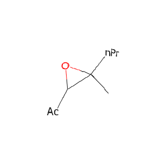 CCCC1(C)OC1C(C)=O